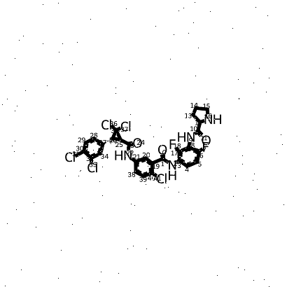 O=C(Nc1ccc(F)c(NC(=O)C2CCCN2)c1F)c1cc(NC(=O)C2[C@H](c3ccc(Cl)c(Cl)c3)C2(Cl)Cl)ccc1Cl